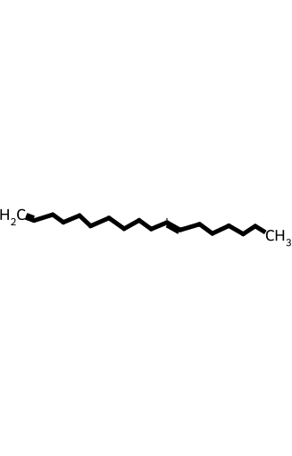 C=CCCCCCCCC/[C]=C/CCCCCC